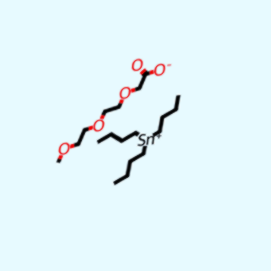 CCC[CH2][Sn+]([CH2]CCC)[CH2]CCC.COCCOCCOCC(=O)[O-]